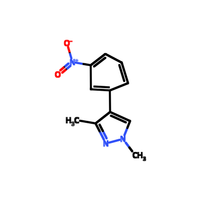 Cc1nn(C)cc1-c1cccc([N+](=O)[O-])c1